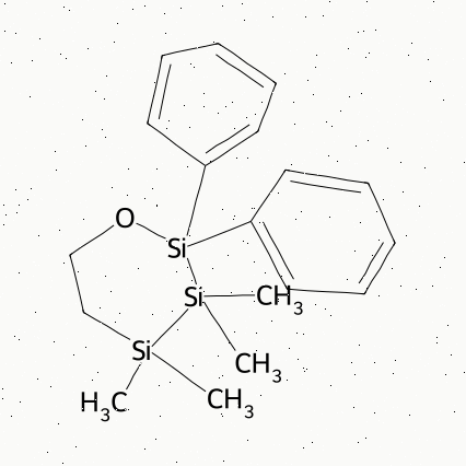 C[Si]1(C)CCO[Si](c2ccccc2)(c2ccccc2)[Si]1(C)C